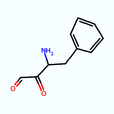 NC(Cc1ccccc1)C(=O)C=O